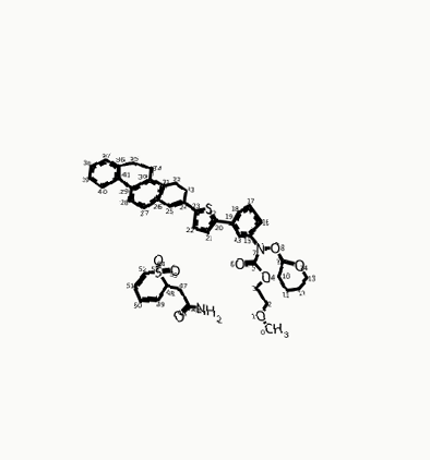 COCCOC(=O)N(OC1CCCCO1)c1cccc(-c2ccc(C3=Cc4ccc5c(c4CC3)CCc3ccccc3-5)s2)c1.NC(=O)CC1C=CC=CS1(=O)=O